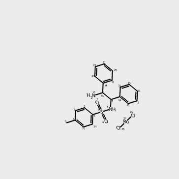 Cc1ccc(S(=O)(=O)NC(c2ccccc2)C(N)c2ccccc2)cc1.[Cl][Ru][Cl]